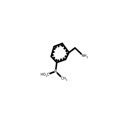 CN(C(=O)O)c1cccc(CN)c1